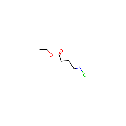 CCOC(=O)CCCNCl